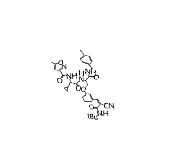 Cc1ccc(CNC(=O)C(COc2cccc(C=C(C#N)C(=O)NC(C)(C)C)c2)NC(=O)C(NC(=O)c2cc(C)on2)C2CC2)cc1